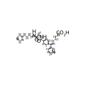 C=C(NC(=O)c1ccc(/C(=C\CCCCC(=O)O)c2cccnc2)cc1)C(=O)NCCCCC1CCCCC1